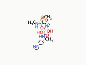 CNc1nc([C@H]2CCCN2C(=O)[C@H](O)[C@@H](O)C(=O)N[C@H](C)c2ccc(-n3cccn3)cc2)c(S(C)(=O)=O)s1